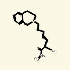 CC(CCCCCN1CCc2ccccc2C1)C(=O)NO